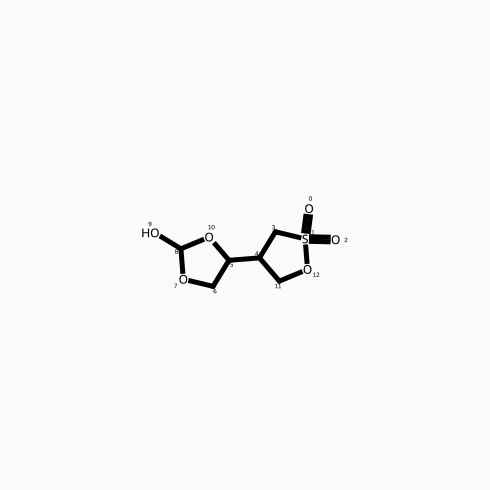 O=S1(=O)CC(C2COC(O)O2)CO1